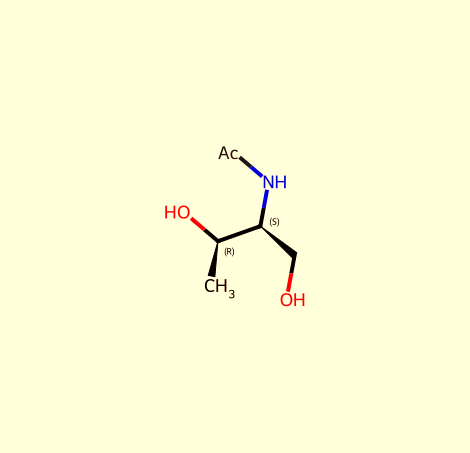 CC(=O)N[C@@H](CO)[C@@H](C)O